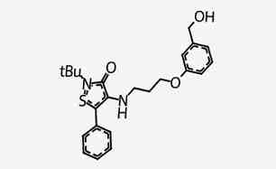 CC(C)(C)n1sc(-c2ccccc2)c(NCCCOc2cccc(CO)c2)c1=O